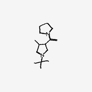 C=C(C1CN(C(C)(C)C)CC1C)N1CCCC1